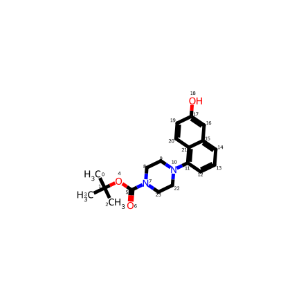 CC(C)(C)OC(=O)N1CCN(c2cccc3cc(O)ccc23)CC1